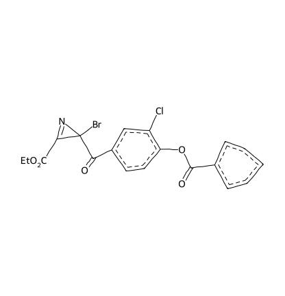 CCOC(=O)C1=NC1(Br)C(=O)c1ccc(OC(=O)c2ccccc2)c(Cl)c1